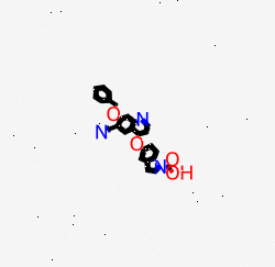 N#Cc1cc2c(Oc3ccc4c(ccn4C(=O)O)c3)ccnc2cc1OCc1ccccc1